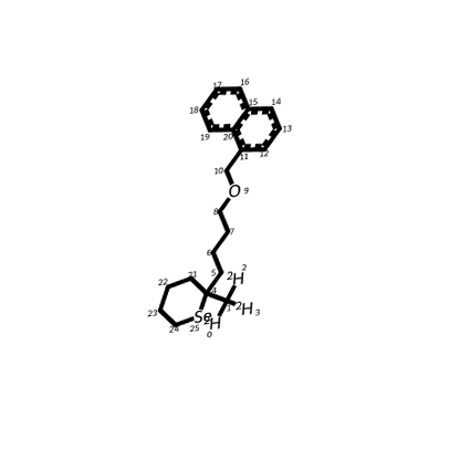 [2H]C([2H])([2H])C1(CCCCOCc2cccc3ccccc23)CCCC[Se]1